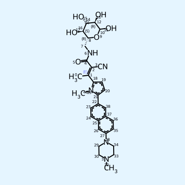 C/C(=C(/C#N)C(=O)NC[C@H]1OC(O)[C@H](O)[C@@H](O)[C@@H]1O)c1ccc(-c2ccc3cc(N4CCN(C)CC4)ccc3c2)n1C